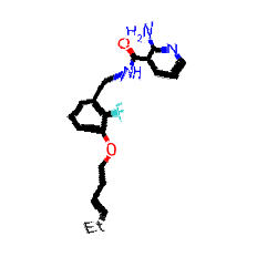 CCC=CCCOc1cccc(CNC(=O)c2cccnc2N)c1F